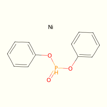 O=[PH](Oc1ccccc1)Oc1ccccc1.[Ni]